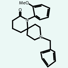 COc1ccccc1N1C(=O)CCCC12CCN(Cc1ccccc1)CC2